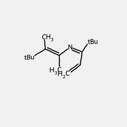 C=C/C(=N\C(C)=C(/C)C(C)(C)C)C(C)(C)C